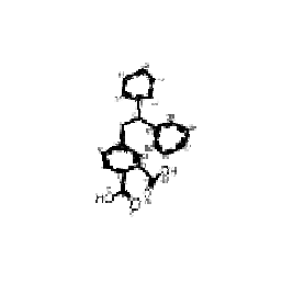 O=C(O)c1ccc(CC(c2ccccc2)c2ccccc2)cc1C(=O)O